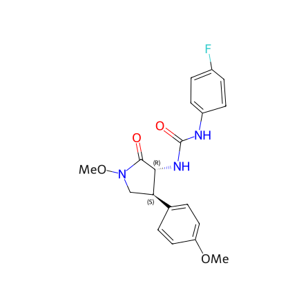 COc1ccc([C@H]2CN(OC)C(=O)[C@@H]2NC(=O)Nc2ccc(F)cc2)cc1